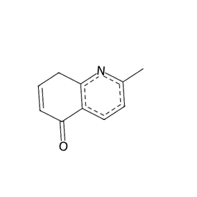 Cc1ccc2c(n1)CC=CC2=O